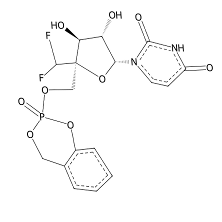 O=c1ccn([C@@H]2O[C@@](COP3(=O)OCc4ccccc4O3)(C(F)F)[C@@H](O)[C@@H]2O)c(=O)[nH]1